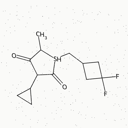 CC1C(=O)C(C2CC2)C(=O)[SH]1CC1CC(F)(F)C1